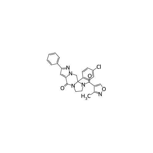 Cc1nocc1C(=O)N1CCN2C(=O)c3cc(-c4ccccc4)nn3CC12c1ccc(Cl)cc1